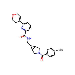 CC(C)(C)c1ccc(C(=O)N2CC3C(CNC(=O)c4[c]ccc(C5=CCOCC5)n4)C3C2)cc1